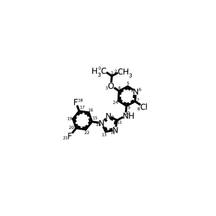 CC(C)Oc1cnc(Cl)c(Nc2ncn(-c3cc(F)cc(F)c3)n2)c1